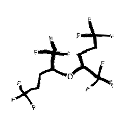 FC(F)(F)CCC(OC(CCC(F)(F)F)C(F)(F)F)C(F)(F)F